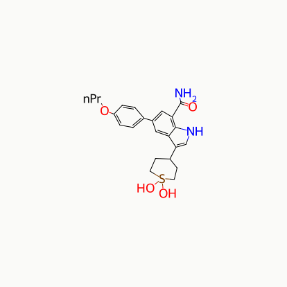 CCCOc1ccc(-c2cc(C(N)=O)c3[nH]cc(C4CCS(O)(O)CC4)c3c2)cc1